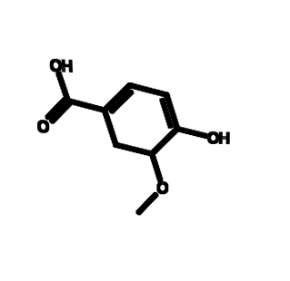 COC1CC(C(=O)O)=CC=C1O